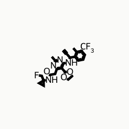 C#CC(Nc1nc(C)nc(CC(=O)NC2(CF)CC2)c1C1OCCO1)c1cccc(C(F)(F)F)c1C